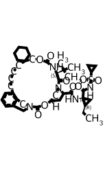 CC[C@@H]1C[C@]1(NC(=O)C1C[C@@H]2CN1C(=O)[C@H](C(C)(C)C)NC(=O)OCC1(CCCCC1)CCCCc1cccc3c1CN(C3)C(=O)O2)C(=O)NS(=O)(=O)C1CC1